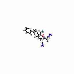 CC1=C(C#N)/C(=C(\C)C#N)OC1(CF)c1ccc(-c2ccccc2)cc1